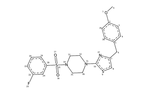 COc1ccc(Cc2csc(N3CCN(S(=O)(=O)c4cccc(F)c4)CC3)n2)cc1